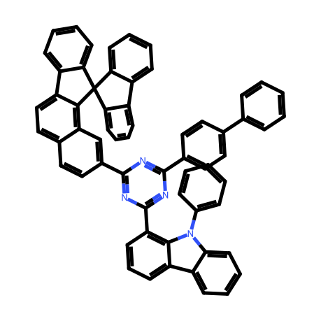 c1ccc(-c2ccc(-c3nc(-c4ccc5ccc6c(c5c4)C4(c5ccccc5-c5ccccc54)c4ccccc4-6)nc(-c4cccc5c6ccccc6n(-c6ccccc6)c45)n3)cc2)cc1